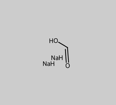 O=CO.[NaH].[NaH]